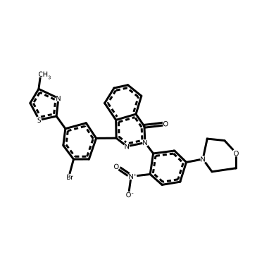 Cc1csc(-c2cc(Br)cc(-c3nn(-c4cc(N5CCOCC5)ccc4[N+](=O)[O-])c(=O)c4ccccc34)c2)n1